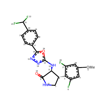 COc1cc(F)c([C@@H]2CNC(=O)[C@H]2Nc2nnc(-c3ccc(C(F)F)cc3)o2)c(F)c1